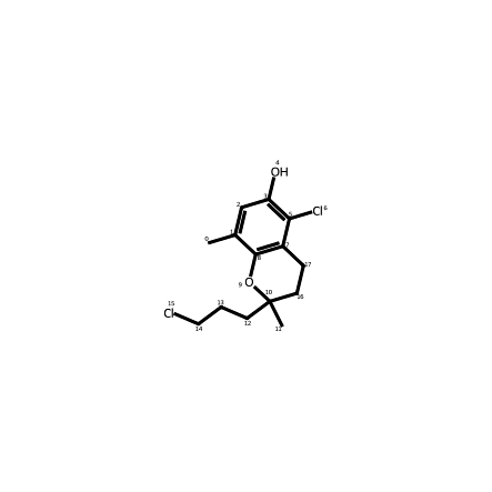 Cc1cc(O)c(Cl)c2c1OC(C)(CCCCl)CC2